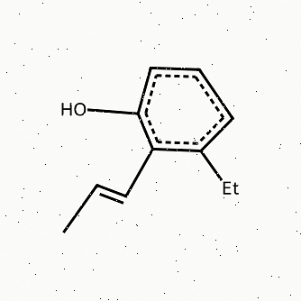 CC=Cc1c(O)cccc1CC